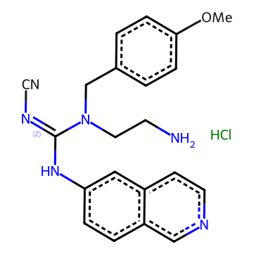 COc1ccc(CN(CCN)/C(=N\C#N)Nc2ccc3cnccc3c2)cc1.Cl